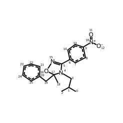 CC(C)CN1C(c2ccc([N+](=O)[O-])cc2)=NOC1(C)Cc1ccccc1